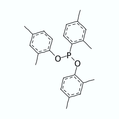 Cc1ccc(OP(Oc2ccc(C)cc2C)c2ccc(C)cc2C)c(C)c1